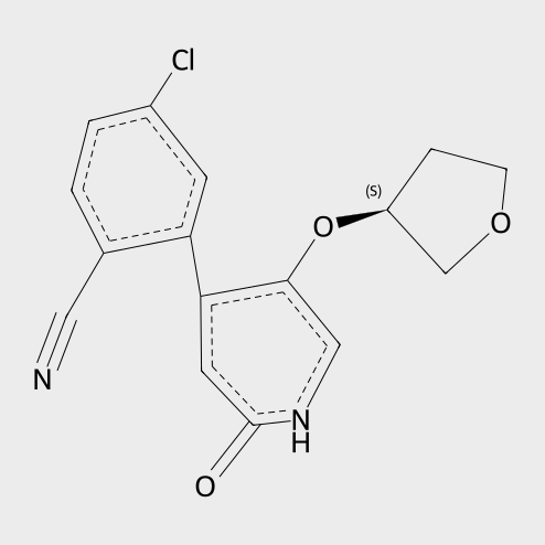 N#Cc1ccc(Cl)cc1-c1cc(=O)[nH]cc1O[C@H]1CCOC1